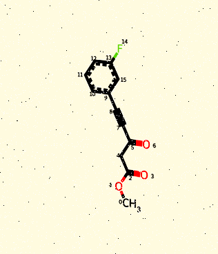 COC(=O)CC(=O)C#Cc1cccc(F)c1